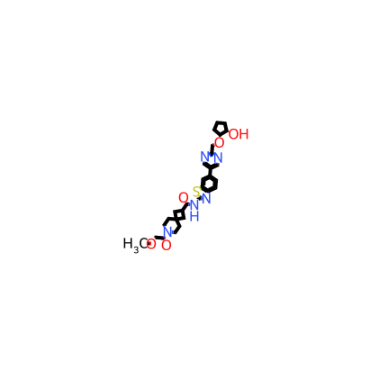 COCC(=O)N1CCC2(CC1)CC(C(=O)Nc1nc3ccc(-c4cnc(CO[C@H]5CCC[C@@H]5O)nc4)cc3s1)C2